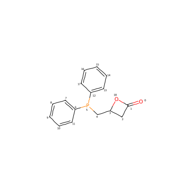 O=C1CC(CP(c2ccccc2)c2ccccc2)O1